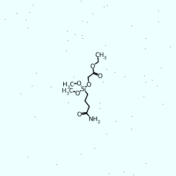 CCOC(=O)CO[Si](CCCC(N)=O)(OC)OC